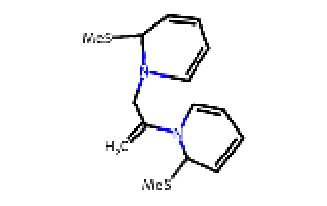 C=C(CN1C=CC=CC1SC)N1C=CC=CC1SC